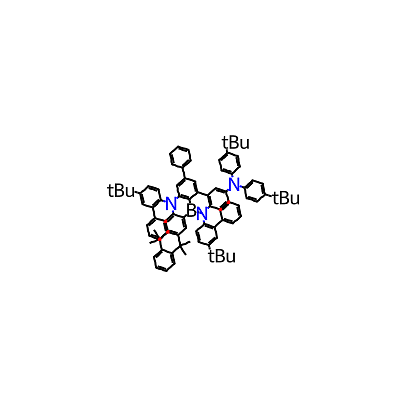 CC(C)(C)c1ccc(N(c2ccc(C(C)(C)C)cc2)c2ccc3c(c2)-c2cc(-c4ccccc4)cc4c2B(c2cc5c(cc2N4c2ccc(C(C)(C)C)cc2-c2ccccc2)C(C)(C)c2ccccc2C5(C)C)N3c2ccc(C(C)(C)C)cc2-c2ccccc2)cc1